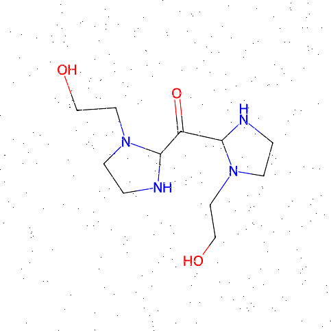 O=C(C1NCCN1CCO)C1NCCN1CCO